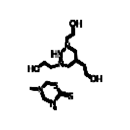 CN1CSC(=S)N(C)C1.OCCC1CN(CCO)NN(CCO)C1